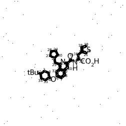 CC(C)(C)C1CCC(Oc2ccc3cc(C(=O)N[C@H](Cc4ccsc4)C(=O)O)nc(CC4CCCC4)c3c2)CC1